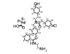 NCCNC(=O)c1ccccc1-c1cccc(CN(CCc2ccc(O)cc2)C(=O)Cc2ccc(Cl)cc2)c1.O=C(O)C(F)(F)F